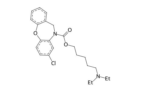 CCN(CC)CCCCCOC(=O)N1Cc2ccccc2Oc2ccc(Cl)cc21